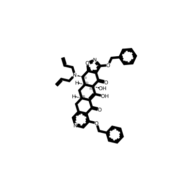 C=CCN(CC=C)[C@@H]1c2onc(OCc3ccccc3)c2C(=O)[C@@]2(O)C(O)=C3C(=O)c4c(cncc4OCc4ccccc4)C[C@H]3C[C@@H]12